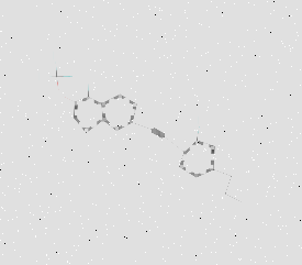 CCCc1ccc(C#Cc2ccc3c(F)c(OC(F)(F)F)ccc3c2)c(F)c1